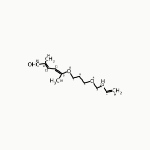 C=CPCOCCCO/C(C)=C/C=C(\C)C=O